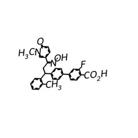 Cc1ccccc1C(CC(=NO)c1ccc(=O)n(C)c1)c1ccc(-c2ccc(C(=O)O)c(F)c2)cc1